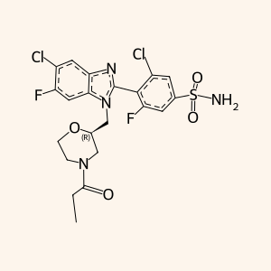 CCC(=O)N1CCO[C@@H](Cn2c(-c3c(F)cc(S(N)(=O)=O)cc3Cl)nc3cc(Cl)c(F)cc32)C1